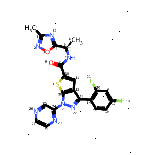 Cc1noc([C@@H](C)NC(=O)c2cc3c(-c4ccc(F)cc4F)nn(-c4cnccn4)c3s2)n1